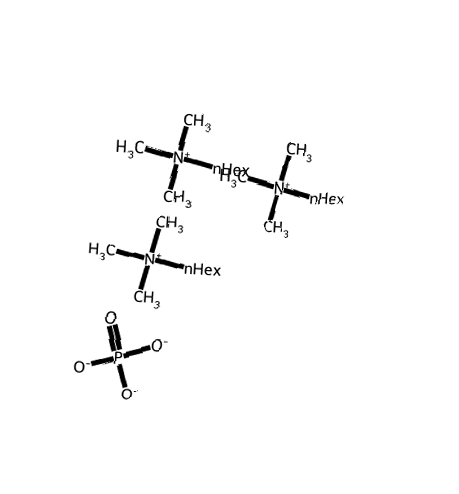 CCCCCC[N+](C)(C)C.CCCCCC[N+](C)(C)C.CCCCCC[N+](C)(C)C.O=P([O-])([O-])[O-]